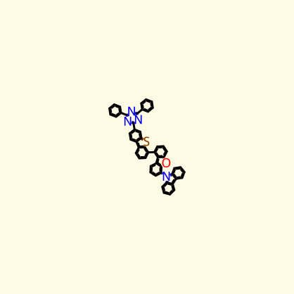 c1ccc(-c2nc(-c3ccccc3)nc(-c3ccc4c(c3)sc3c(-c5cccc6oc7c(-n8c9ccccc9c9ccccc98)cccc7c56)cccc34)n2)cc1